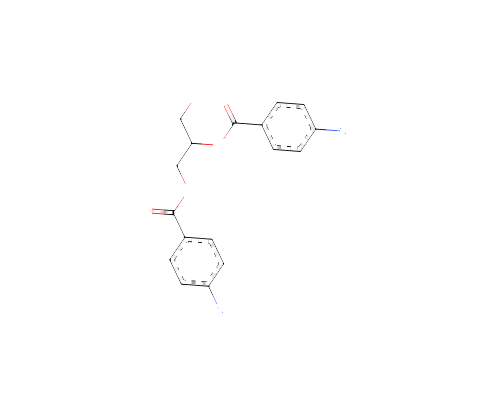 Nc1ccc(C(=O)OCC(CO)OC(=O)c2ccc(N)cc2)cc1